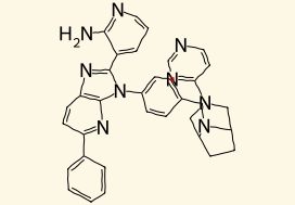 Nc1ncccc1-c1nc2ccc(-c3ccccc3)nc2n1-c1ccc(CN2C3CCC2CN(c2ccncn2)C3)cc1